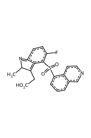 CC1N=c2ccc(F)c(S(=O)(=O)c3cccc4cnccc34)c2=C1CC(=O)O